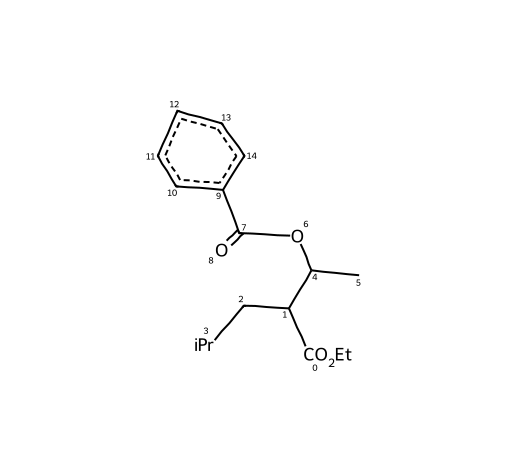 CCOC(=O)C(CC(C)C)C(C)OC(=O)c1ccccc1